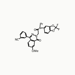 COc1ccc2c(-c3cccc(C#N)c3)nn(CC(=O)N(c3ccc4c(c3)OC(F)(F)O4)C(C)C)c(=O)c2c1